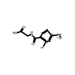 O=C(O)CNC(=O)c1ccc(NF)cc1F